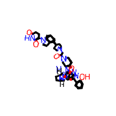 Nc1nnc(-c2ccccc2O)cc1N1C[C@H]2CC[C@@H](C1)N2c1cccc(OC2CCN(C(=O)CN3CCC(c4cccc5c4CCN5[C@@H]4CCC(=O)NC4=O)CC3)CC2)c1